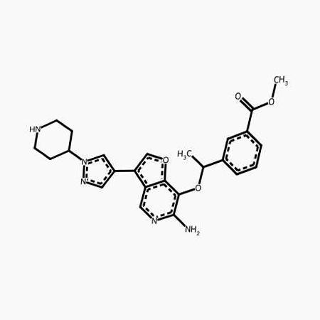 COC(=O)c1cccc(C(C)Oc2c(N)ncc3c(-c4cnn(C5CCNCC5)c4)coc23)c1